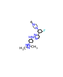 Cc1nc(C)n(-c2ccc(Nc3nccc(-c4cc(F)cc(N5CCN(C6CC6)CC5)c4)n3)cc2)n1